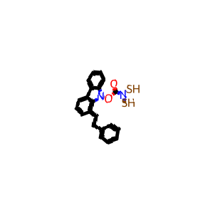 O=C(On1c2ccccc2c2cccc(CCc3ccccc3)c21)N(S)S